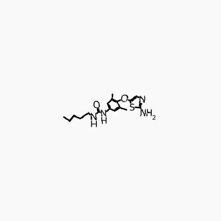 CCCCCNC(=O)Nc1cc(C)c(Oc2cnc(N)s2)c(C)c1